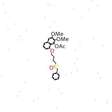 COc1cc2cccc(OCCCC[S+]([O-])Cc3ccccc3)c2c(OC(C)=O)c1OC